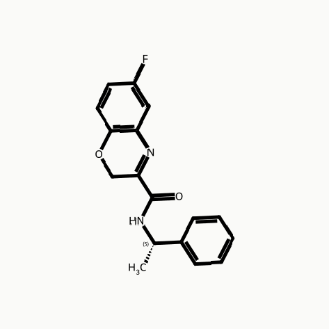 C[C@H](NC(=O)C1=Nc2cc(F)ccc2OC1)c1ccccc1